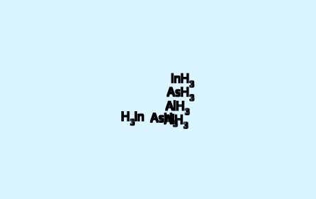 [AlH3].[AlH3].[AsH3].[AsH3].[InH3].[InH3]